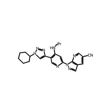 CC(C)Nc1cc(-n2ncc3cc(C#N)cnc32)ncc1-c1cn(C2CCCCC2)nn1